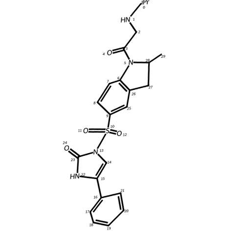 CC(C)NCC(=O)N1c2ccc(S(=O)(=O)n3cc(-c4ccccc4)[nH]c3=O)cc2CC1C